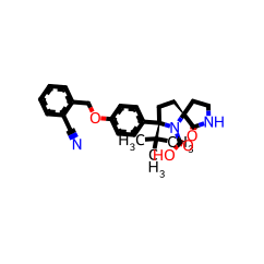 CC(C)(C)[C@@]1(c2ccc(OCc3ccccc3C#N)cc2)CC[C@]2(CCNC2=O)N1C(=O)O